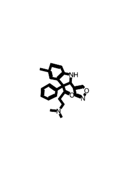 Cc1ccc2c(c1)C(C(=O)CCN(C)C)(c1ccccc1)C(c1cnoc1)N2